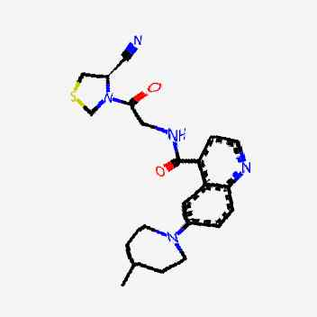 CC1CCN(c2ccc3nccc(C(=O)NCC(=O)N4CSC[C@H]4C#N)c3c2)CC1